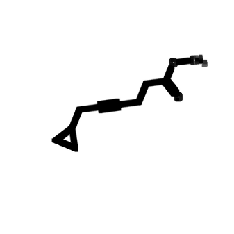 COC(=O)CCC#CCC1[CH]C1